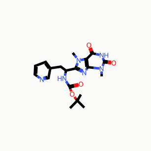 Cn1c(C(Cc2cccnc2)NC(=O)OC(C)(C)C)nc2c1c(=O)[nH]c(=O)n2C